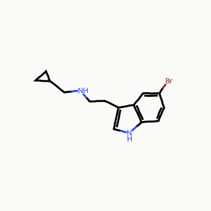 Brc1ccc2[nH]cc(CCNCC3CC3)c2c1